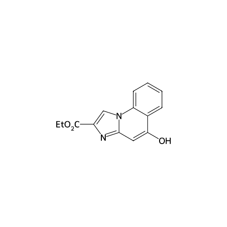 CCOC(=O)c1cn2c(cc(O)c3ccccc32)n1